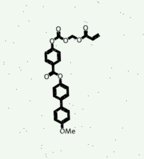 C=CC(=O)OCOC(=O)Oc1ccc(C(=O)Oc2ccc(-c3ccc(OC)cc3)cc2)cc1